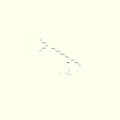 CCCCCN(CCCCCCCC(=O)OC(CCCC)CCCC)C(=O)SCCN(C)C